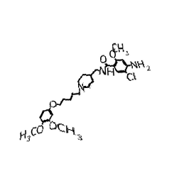 COc1ccc(OCCCCCN2CCC(CNC(=O)c3cc(Cl)c(N)cc3OC)CC2)cc1OC